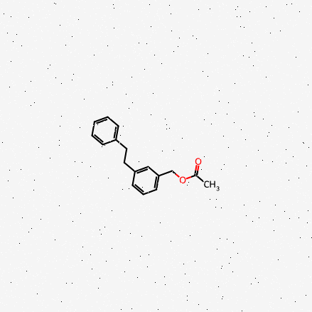 CC(=O)OCc1cccc(CCc2ccccc2)c1